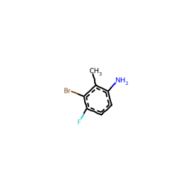 Cc1c(N)ccc(F)c1Br